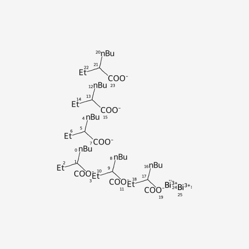 CCCCC(CC)C(=O)[O-].CCCCC(CC)C(=O)[O-].CCCCC(CC)C(=O)[O-].CCCCC(CC)C(=O)[O-].CCCCC(CC)C(=O)[O-].CCCCC(CC)C(=O)[O-].[Bi+3].[Bi+3]